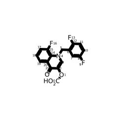 O=C(O)Oc1cn(Cc2cc(F)ccc2F)c2c(F)cccc2c1=O